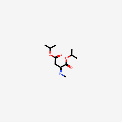 CN=C(CC(=O)OC(C)C)C(=O)OC(C)C